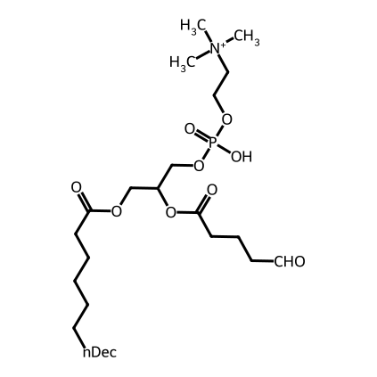 CCCCCCCCCCCCCCCC(=O)OCC(COP(=O)(O)OCC[N+](C)(C)C)OC(=O)CCCC=O